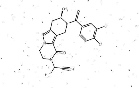 C#CC(C)N1CCn2nc3c(c2C1=O)CN(C(=O)c1ccc(Cl)c(Cl)c1)[C@H](C)C3